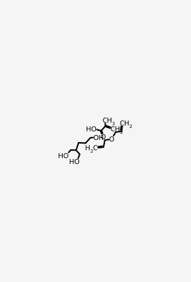 C=C(C)C(=O)O.C=CCOCC=C.OCCCC(CO)CO